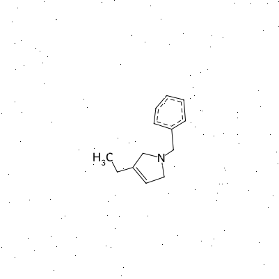 CCC1=CCN(Cc2ccccc2)C1